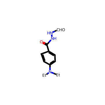 CCN(CC)c1ccc(C(=O)NNC=O)cc1